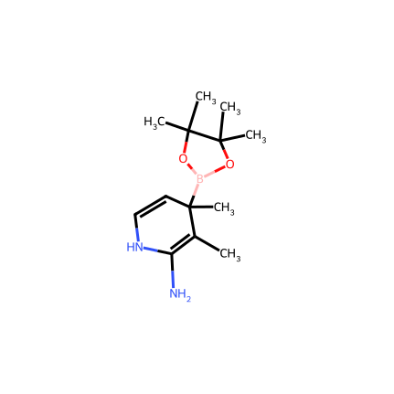 CC1=C(N)NC=CC1(C)B1OC(C)(C)C(C)(C)O1